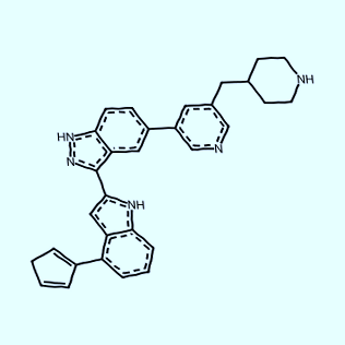 C1=CC(c2cccc3[nH]c(-c4n[nH]c5ccc(-c6cncc(CC7CCNCC7)c6)cc45)cc23)=CC1